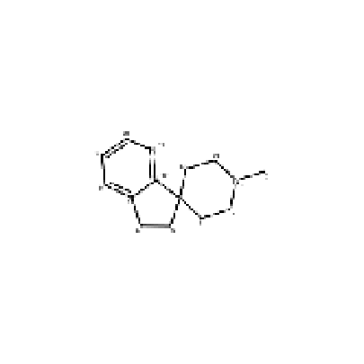 CN1CCC2(CCc3cccnc32)CC1